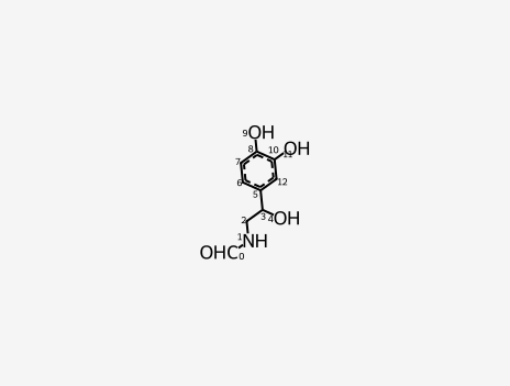 O=CNCC(O)c1ccc(O)c(O)c1